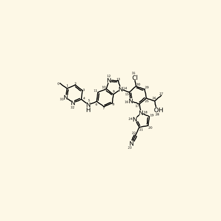 Cc1ccc(Nc2ccc3c(c2)ncn3-c2nc(-n3ccc(C#N)n3)c(C(C)O)cc2Cl)nn1